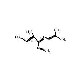 C=NC(=N\C=C(C)C)/C(C)=C/C